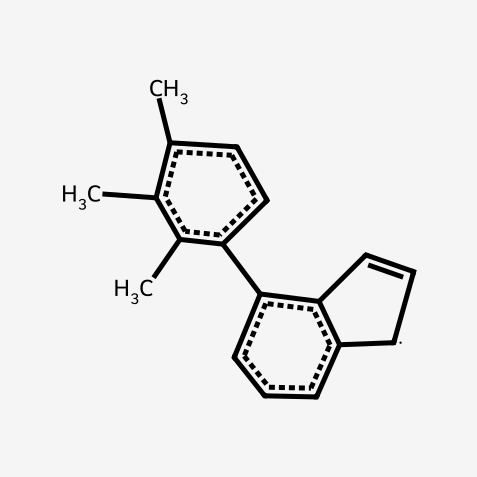 Cc1ccc(-c2cccc3c2C=C[CH]3)c(C)c1C